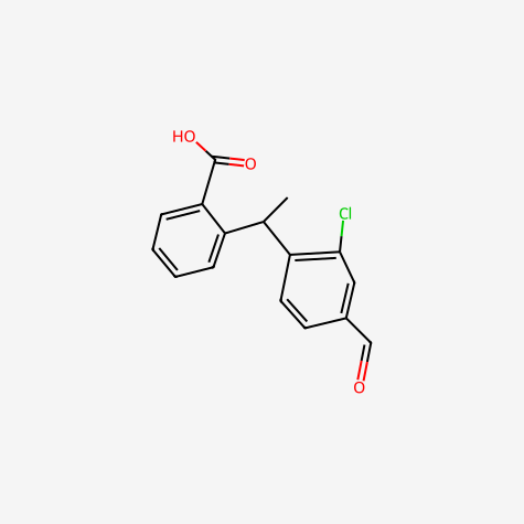 CC(c1ccc(C=O)cc1Cl)c1ccccc1C(=O)O